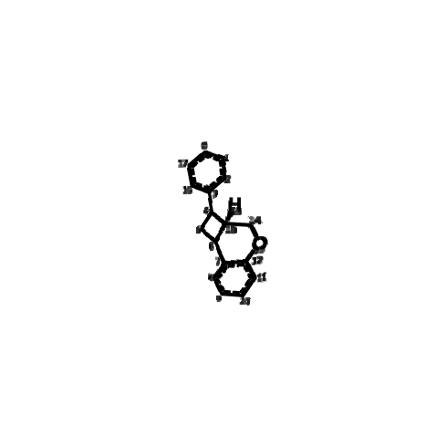 c1ccc(C2CC3c4ccccc4OC[C@@H]23)cc1